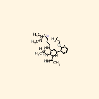 C=NN(C)/N=C\CCNc1cc(-c2cccnc2OCC)nc(C(C)=N)c1NC(C)C